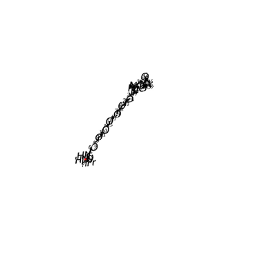 CCCNC(=O)NCCOCCOCCOCCOCCOCCOCCOCCn1cc(CN2C(=O)CC(C)C2=O)nn1